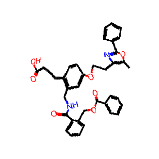 Cc1oc(-c2ccccc2)nc1CCOc1ccc(CCC(=O)O)c(CNC(=O)c2ccccc2COC(=O)c2ccccc2)c1